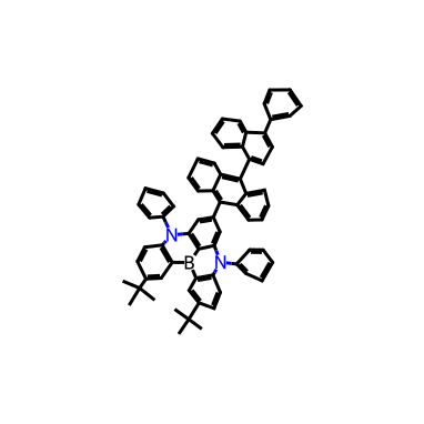 CC(C)(C)c1ccc2c(c1)B1c3cc(C(C)(C)C)ccc3N(c3ccccc3)c3cc(-c4c5ccccc5c(-c5ccc(-c6ccccc6)c6ccccc56)c5ccccc45)cc(c31)N2c1ccccc1